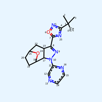 CCC(C)(C)c1noc(C2=NN(c3cnccn3)C3C4CCC(CC23)O4)n1